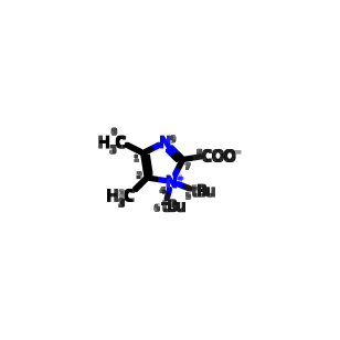 CC1=C(C)[N+](C(C)(C)C)(C(C)(C)C)C(C(=O)[O-])=N1